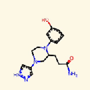 NC(=O)CCC1CN(c2cn[nH]c2)CCN1c1cccc(O)c1